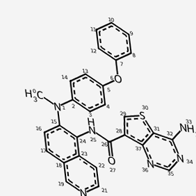 CN(c1ccc(Oc2ccccc2)cc1)c1ccc2cnccc2c1NC(=O)c1csc2c(N)ncnc12